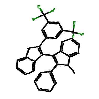 CC1C(c2ccccc2)=C(C2=C(c3cc(C(F)(F)F)cc(C(F)(F)F)c3)[CH]c3ccccc32)c2ccccc21